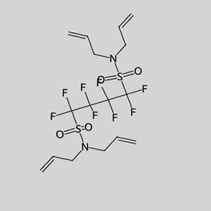 C=CCN(CC=C)S(=O)(=O)C(F)(F)C(F)(F)C(F)(F)C(F)(F)S(=O)(=O)N(CC=C)CC=C